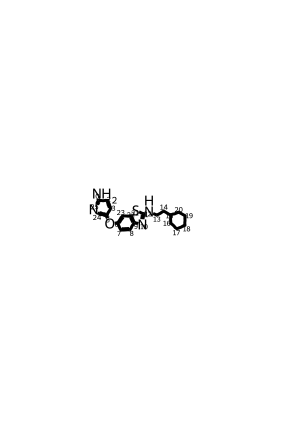 Nc1ccc(Oc2ccc3nc(NCCC4CCCCC4)sc3c2)cn1